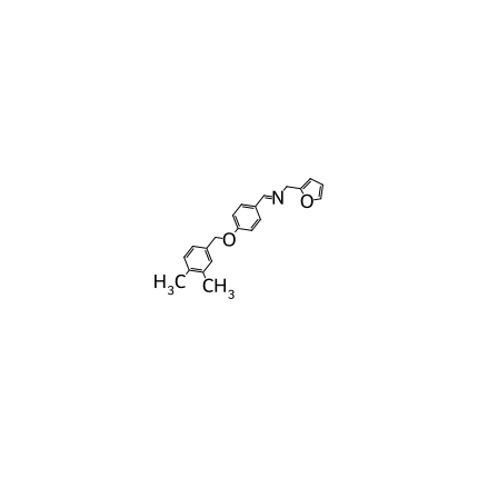 Cc1ccc(COc2ccc(C=NCc3ccco3)cc2)cc1C